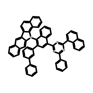 c1ccc(-c2cccc(-c3cc(-c4nc(-c5ccccc5)nc(-c5cccc6ccccc56)n4)c4ccccc4c3-n3c4cc5ccccc5cc4c4ccc5ccccc5c43)c2)cc1